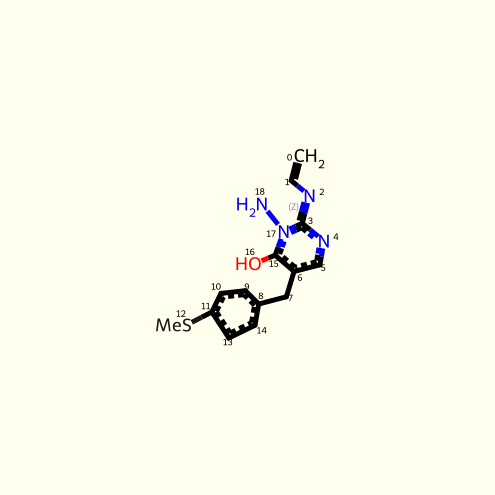 C=C/N=c1/ncc(Cc2ccc(SC)cc2)c(O)n1N